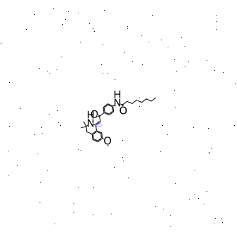 CCCCCCCC(=O)Nc1ccc(C(=O)/C=C2\NC(C)(C)Cc3ccc(OC)cc32)cc1